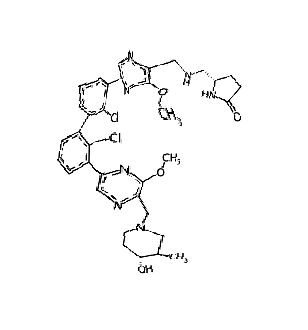 COc1nc(-c2cccc(-c3cccc(-c4cnc(CN5CC[C@@H](O)[C@H](C)C5)c(OC)n4)c3Cl)c2Cl)cnc1CNC[C@@H]1CCC(=O)N1